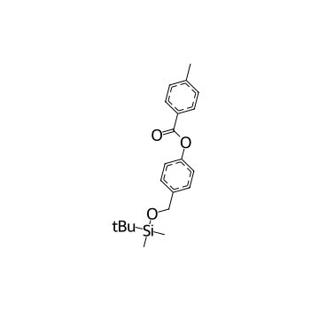 Cc1ccc(C(=O)Oc2ccc(CO[Si](C)(C)C(C)(C)C)cc2)cc1